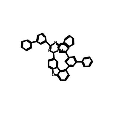 c1ccc(C2=NC(c3cccc(-c4ccccc4)c3)=NC(c3ccc4oc5cccc(-c6cc(-c7ccccc7)cc(-c7ccccc7)c6)c5c4c3)N2)cc1